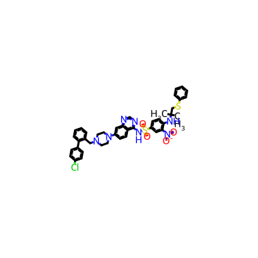 CC(C)(CSc1ccccc1)Nc1ccc(S(=O)(=O)Nc2ncnc3cc(N4CCN(Cc5ccccc5-c5ccc(Cl)cc5)CC4)ccc23)cc1[N+](=O)[O-]